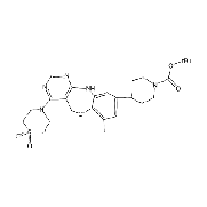 Cc1cc(C2CCN(C(=O)OC(C)(C)C)CC2)cc2c1OCc1c(ncnc1N1CCS(=O)(=O)CC1)N2